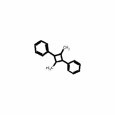 CC1C(c2ccccc2)C(C)C1c1ccccc1